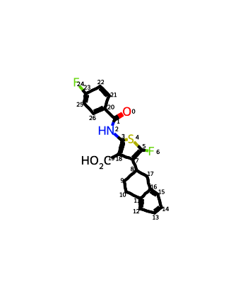 O=C(Nc1sc(F)c(C2CCc3ccccc3C2)c1C(=O)O)c1ccc(F)cc1